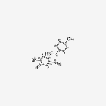 COc1ccc(CNc2cc(Br)c(F)cc2C#N)cc1